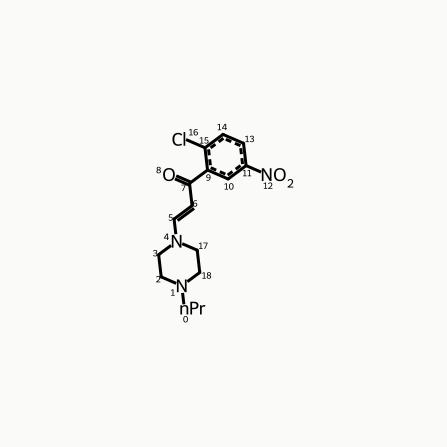 CCCN1CCN(C=CC(=O)c2cc([N+](=O)[O-])ccc2Cl)CC1